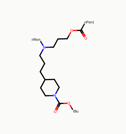 CCCCCCCCCN(CCCOC(=O)CCCCC)CCCC1CCN(C(=O)OC(C)(C)C)CC1